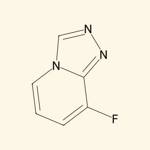 Fc1cccn2cnnc12